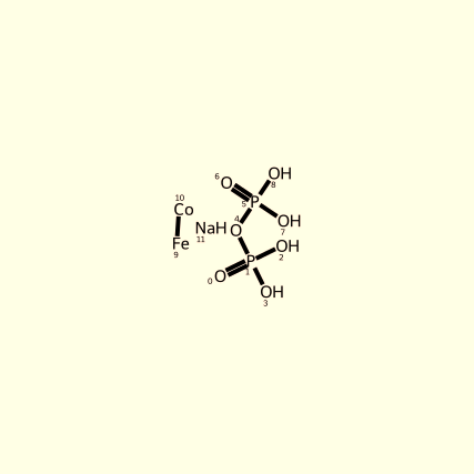 O=P(O)(O)OP(=O)(O)O.[Fe][Co].[NaH]